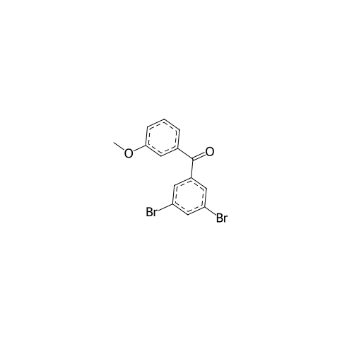 COc1cccc(C(=O)c2cc(Br)cc(Br)c2)c1